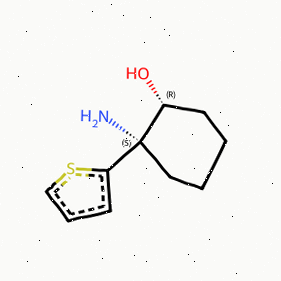 N[C@@]1(c2cccs2)CCCC[C@H]1O